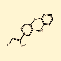 CC/N=C(\SC)c1ccc2c(c1)Nc1ccccc1S2